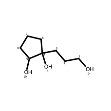 OCCCC1(O)CCCC1O